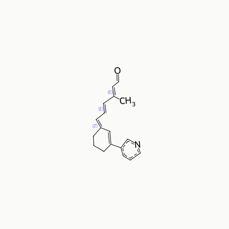 CC(/C=C/C=C1\C=C(c2cccnc2)CCC1)=C\C=O